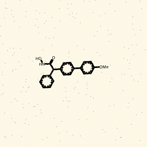 COc1ccc(-c2ccc(C(C(=O)NO)c3ccccc3)cc2)cc1